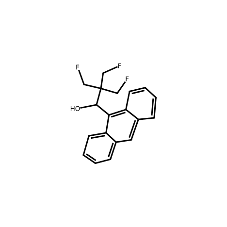 OC(c1c2ccccc2cc2ccccc12)C(CF)(CF)CF